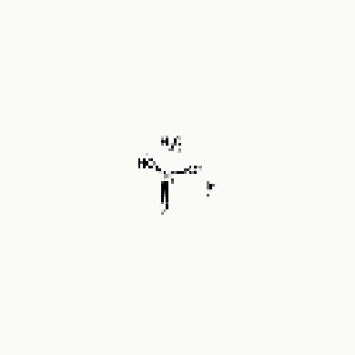 O.O=[N+]([O-])O.[Ir]